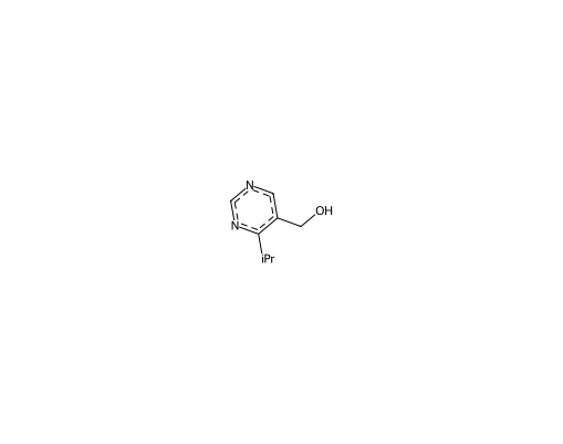 CC(C)c1ncncc1CO